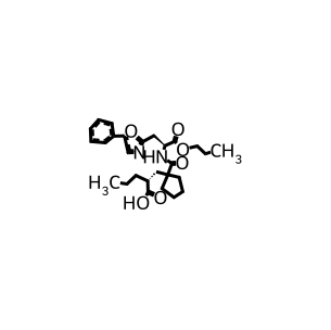 CCCOC(=O)[C@H](Cc1ncc(-c2ccccc2)o1)NC(=O)C1(C[C@@H](CCC)C(=O)O)CCCC1